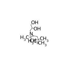 CC(C)(C)CC1N(CC(O)CO)C1(C)C